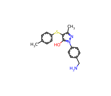 Cc1ccc(Sc2c(C)nn(-c3ccc(CN)cc3)c2O)cc1